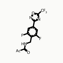 CC(=O)C(=O)NCc1c(F)cc(-c2noc(C(F)(F)F)n2)cc1F